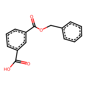 O=C(O)c1cccc(C(=O)OCc2ccccc2)c1